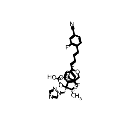 C[C@@H](SC1COC(C=CC=Cc2ccc(C#N)cc2F)OC1)[C@@](Cn1cncn1)(OP(O)O)c1ccc(F)cc1F